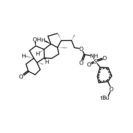 C[C@H](COC(=O)NS(=O)(=O)c1ccc(OC(C)(C)C)cc1)[C@H]1CC[C@H]2[C@@H]3[C@H](O)C[C@@H]4CC(=O)CC[C@]4(C)[C@H]3CC[C@]12C